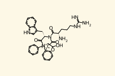 CC(=O)N(C(=O)[C@@H](N)CCCNC(=N)N)[C@@H](Cc1c[nH]c2ccccc12)C(=O)[N+](CC(=O)O)(c1ccccc1)c1ccccc1